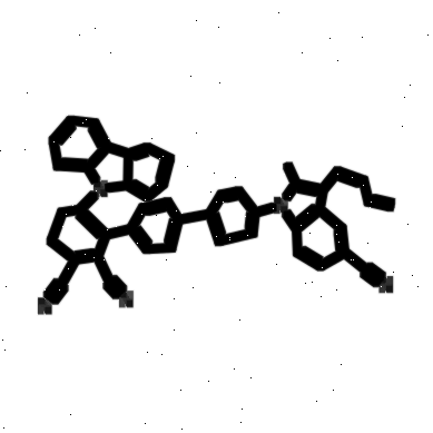 C=C/C=C\c1c(C)n(-c2ccc(-c3ccc(C4=C(n5c6ccccc6c6ccccc65)CCC(C#N)=C4C#N)cc3)cc2)c2ccc(C#N)cc12